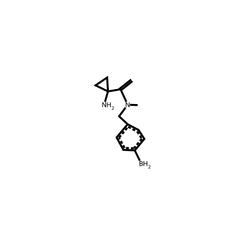 Bc1ccc(CN(C)C(=C)C2(N)CC2)cc1